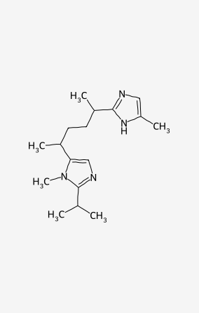 Cc1cnc(C(C)CCC(C)c2cnc(C(C)C)n2C)[nH]1